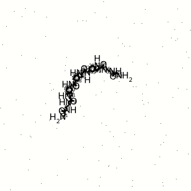 NCC(=O)NCCNC(=O)c1cc2cc(NC(=O)c3ccc4[nH]c(C(=O)Nc5ccc6[nH]c(C(=O)NCCNC(=O)CN)cc6c5)cc4c3)ccc2[nH]1